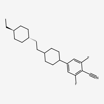 CC[C@H]1CC[C@H](CCC2CCC(c3cc(F)c(C#N)c(F)c3)CC2)CC1